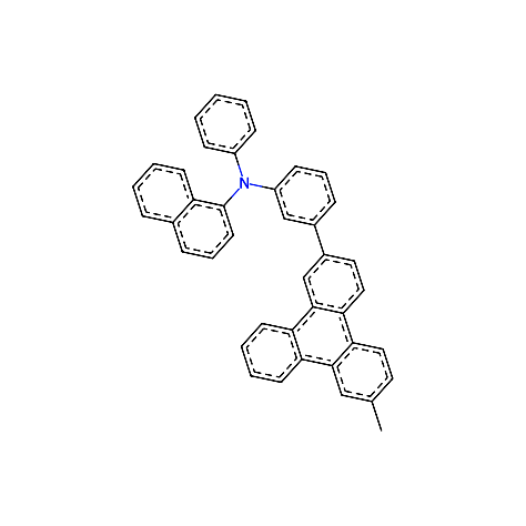 Cc1ccc2c3ccc(-c4cccc(N(c5ccccc5)c5cccc6ccccc56)c4)cc3c3ccccc3c2c1